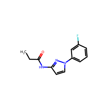 CCC(=O)Nc1ccn(-c2cccc(F)c2)n1